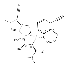 CN(C)C(=O)[C@H]1[C@@H](O)[C@@]2(O)c3nn(C)c(C#N)c3O[C@@]2(c2ccc(C#N)cc2)[C@@H]1C1C=CC=CC1